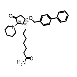 NC(=O)CCCCCC[C@H]1[C@@H](OCc2ccc(-c3ccccc3)cc2)CC(=O)[C@@H]1N1CCCCC1